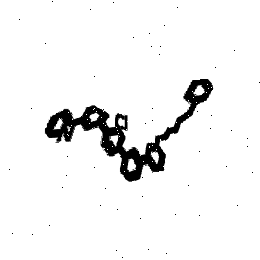 Clc1cc(-c2cccc(-c3cccc(CCCCCCc4ccccc4)c3)c2)ccc1-c1cccc(-c2ccccn2)c1